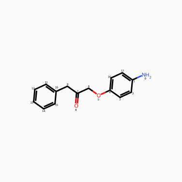 Nc1ccc(OCC(=O)Cc2ccccc2)cc1